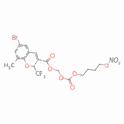 Cc1cc(Br)cc2c1OC(C(F)(F)F)C(C(=O)OCOC(=O)OCCCCO[N+](=O)[O-])=C2